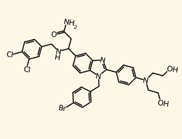 NC(=O)CC(NCc1ccc(Cl)c(Cl)c1)c1ccc2c(c1)nc(-c1ccc(N(CCO)CCO)cc1)n2Cc1ccc(Br)cc1